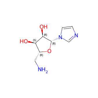 NC[C@H]1O[C@@H](n2ccnc2)[C@H](O)[C@@H]1O